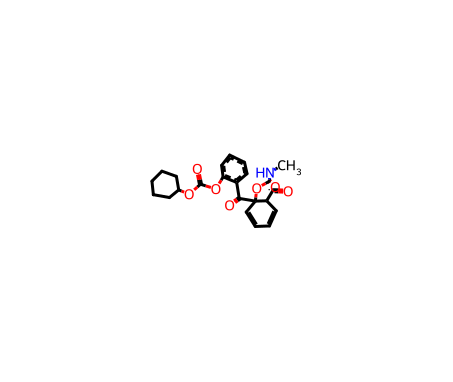 CNC(=O)OC1(C(=O)c2ccccc2OC(=O)OC2CCCCC2)C=CC=CC1[C]=O